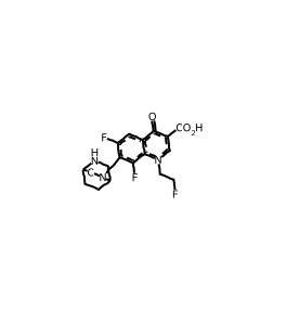 O=C(O)c1cn(CCF)c2c(F)c(N3CC4CCC3CN4)c(F)cc2c1=O